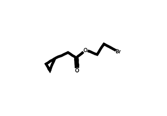 O=C(CC1CC1)OCCBr